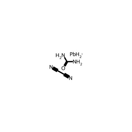 N#CC#N.NC(N)=O.[PbH2]